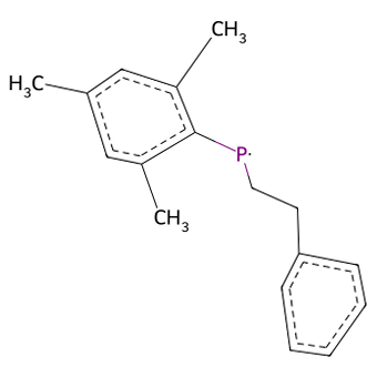 Cc1cc(C)c([P]CCc2ccccc2)c(C)c1